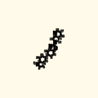 Cn1ccc2cc(-c3ccc4oc(N5Cc6cccnc6C5)nc4c3)ccc21